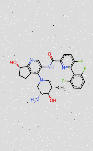 C[C@H]1CN(c2c(NC(=O)c3ccc(F)c(-c4c(F)cccc4F)n3)cnc3c2CC[C@H]3O)C[C@@H](N)[C@@H]1O